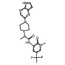 CN(C(=O)Nc1cc(C(F)(F)F)cn(C)c1=O)C1CCN(c2cnc3[nH]ccc3n2)CC1